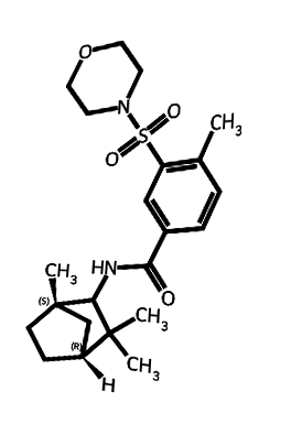 Cc1ccc(C(=O)NC2C(C)(C)[C@@H]3CC[C@@]2(C)C3)cc1S(=O)(=O)N1CCOCC1